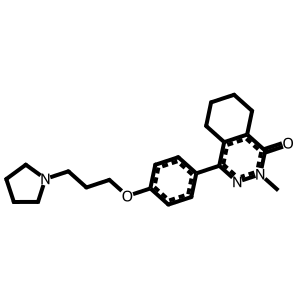 Cn1nc(-c2ccc(OCCCN3CCCC3)cc2)c2c(c1=O)CCCC2